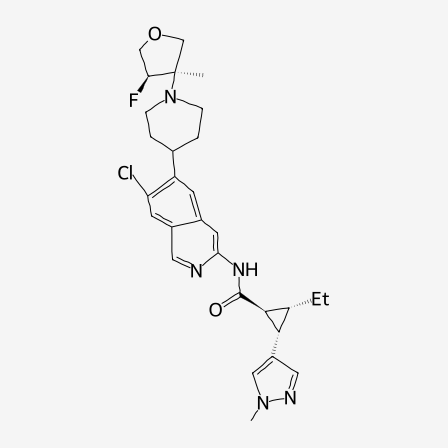 CC[C@H]1[C@H](C(=O)Nc2cc3cc(C4CCN([C@]5(C)COC[C@@H]5F)CC4)c(Cl)cc3cn2)[C@H]1c1cnn(C)c1